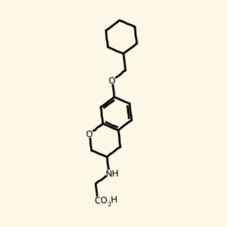 O=C(O)CNC1COc2cc(OCC3CCCCC3)ccc2C1